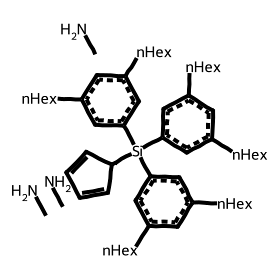 CCCCCCc1cc(CCCCCC)cc([Si]([C]2C=CC=C2)(c2cc(CCCCCC)cc(CCCCCC)c2)c2cc(CCCCCC)cc(CCCCCC)c2)c1.CN.CN.CN